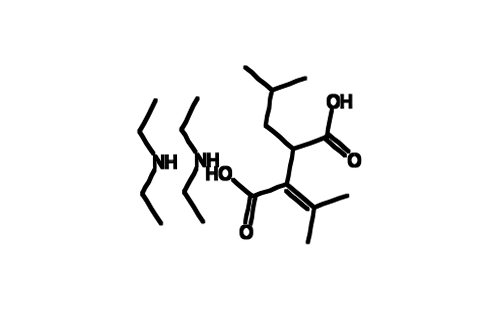 CC(C)=C(C(=O)O)C(CC(C)C)C(=O)O.CCNCC.CCNCC